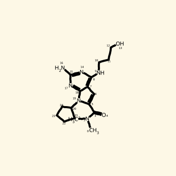 CN(C)C(=O)c1cc2c(NCCCO)nc(N)nc2n1C1CCCC1